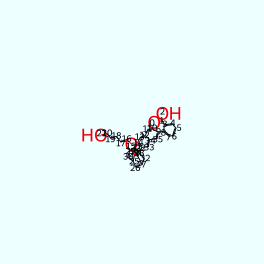 O=C(O)c1ccccc1-c1ccc2cc(OCCCCCO)c(C34CC5CC(CC(C5)C3)C4)cc2c1